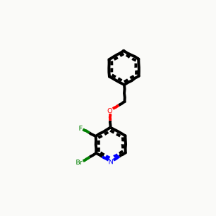 Fc1c(OCc2ccccc2)ccnc1Br